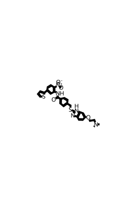 CN(C)CCOc1ccc2nc(SCc3ccc(C(=O)Nc4cc(-c5cccs5)ccc4[N+](=O)[O-])cc3)[nH]c2c1